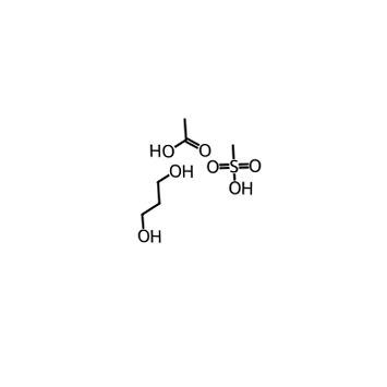 CC(=O)O.CS(=O)(=O)O.OCCCO